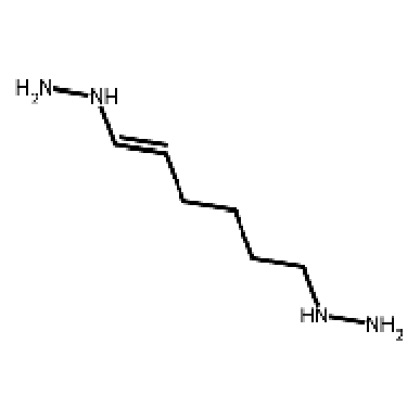 NNC=CCCCCNN